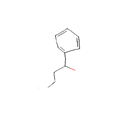 O=S(=O)(O)CCC(O)c1ccccc1